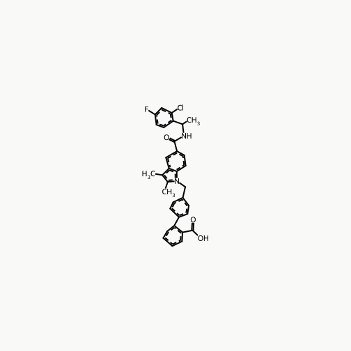 Cc1c(C)n(Cc2ccc(-c3ccccc3C(=O)O)cc2)c2ccc(C(=O)NC(C)c3ccc(F)cc3Cl)cc12